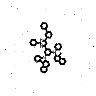 Cc1c(N(c2ccccc2)c2cc(-c3cc(-c4cccc(-c5ccccc5)c4)nc(-c4ccccc4)n3)cc(-n3c4ccccc4c4c5ccccc5ccc43)c2)ccc2ccccc12